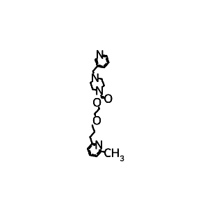 Cc1cccc(CCCOCCOC(=O)N2CCN(Cc3cccnc3)CC2)n1